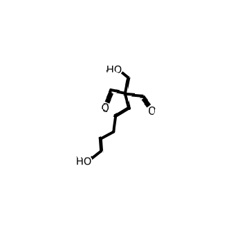 O=CC(C=O)(CO)CCCCCO